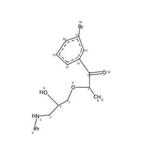 CC(C)NCC(O)COC(C)C(=O)c1cccc(Br)c1